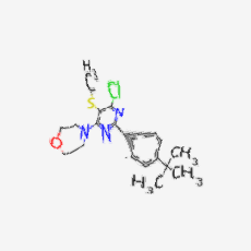 CSc1c(Cl)nc(-c2[c]cc(C(C)(C)C)cc2)nc1N1CCOCC1